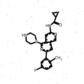 Cc1ccc(F)cc1-c1cc2cnc(NC(=O)C3CC3)cc2c(N2CCNCC2)n1